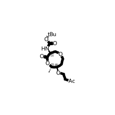 CC(=O)CCO[C@@H]1CCOC[C@H](NC(=O)OC(C)(C)C)C(=O)O[C@H]1C